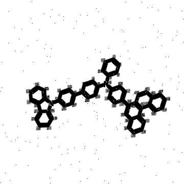 c1ccc(N(c2ccc(-c3ccc(-n4c5ccccc5c5ccccc54)cc3)cc2)c2ccc(-c3cc4ccccc4c4c3ccc3ccccc34)cc2)cc1